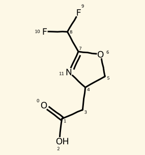 O=C(O)CC1COC(C(F)F)=N1